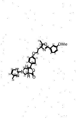 COc1cccc(-c2nc(CCOc3ccc(C4OC(=O)[C@H]5CN(c6nccc(C)n6)C[C@@H]45)cc3)c(C)o2)c1